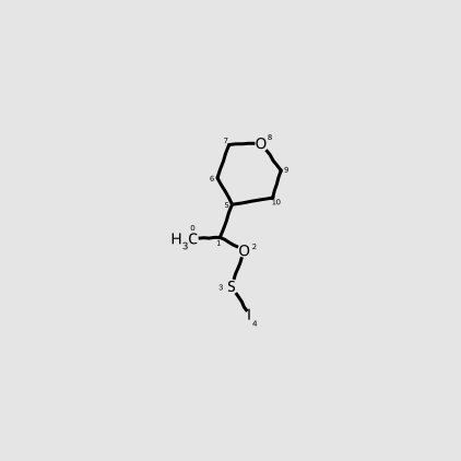 CC(OSI)C1CCOCC1